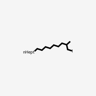 CCCCCCCCCCCCCCC(C)CI